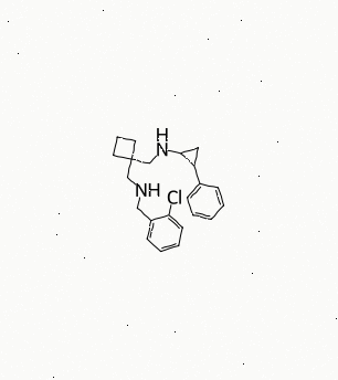 Clc1ccccc1CNCC1(CNC2CC2c2ccccc2)CCC1